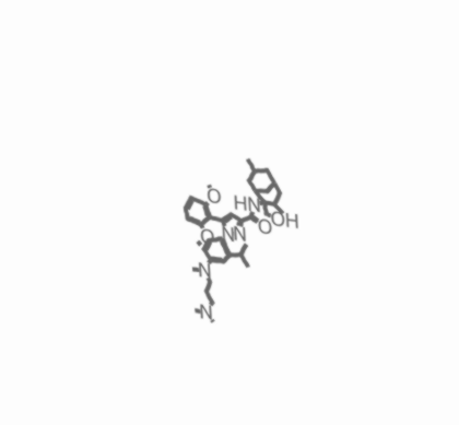 COc1cccc(OC)c1-c1cc(C(=O)NC2(CO)C(C)CC3CC(C)CC2C3)nn1-c1ccc(N(C)CCCN(C)C)cc1C(C)C